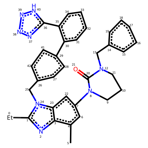 CCc1nc2c(C)cc(N3CCCN(Cc4ccccc4)C3=O)cc2n1Cc1ccc(-c2ccccc2-c2nnn[nH]2)cc1